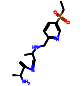 C=C(/N=C\C(C)NCc1ccc(S(=O)(=O)CC)cn1)[C@H](C)N